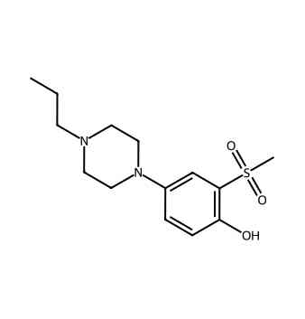 CCCN1CCN(c2ccc(O)c(S(C)(=O)=O)c2)CC1